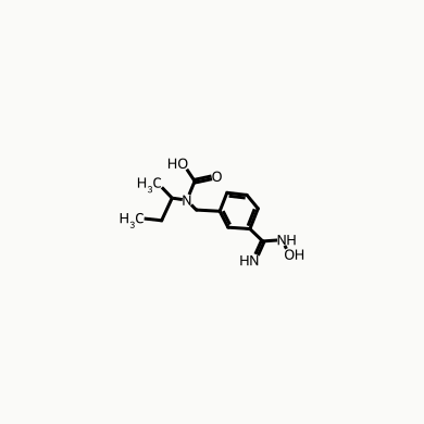 CCC(C)N(Cc1cccc(C(=N)NO)c1)C(=O)O